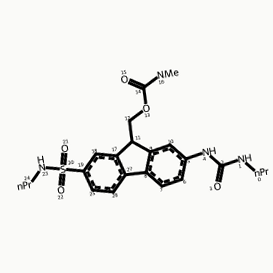 CCCNC(=O)Nc1ccc2c(c1)C(COC(=O)NC)c1cc(S(=O)(=O)NCCC)ccc1-2